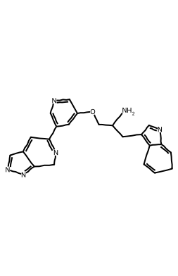 NC(COc1cncc(C2=NCC3=NN=CC3=C2)c1)CC1=C2C=CCC=C2N=C1